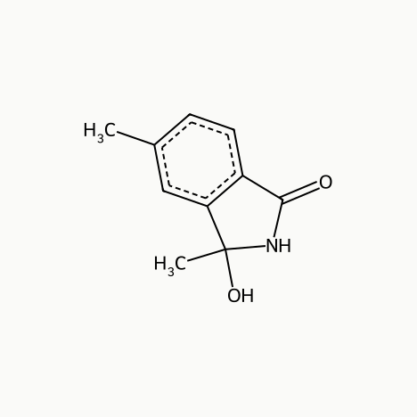 Cc1ccc2c(c1)C(C)(O)NC2=O